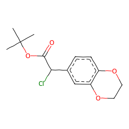 CC(C)(C)OC(=O)C(Cl)c1ccc2c(c1)OCCO2